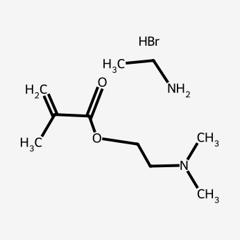 Br.C=C(C)C(=O)OCCN(C)C.CCN